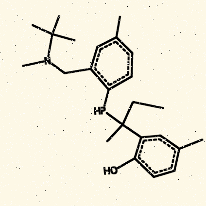 CCC(C)(Pc1ccc(C)cc1CN(C)C(C)(C)C)c1cc(C)ccc1O